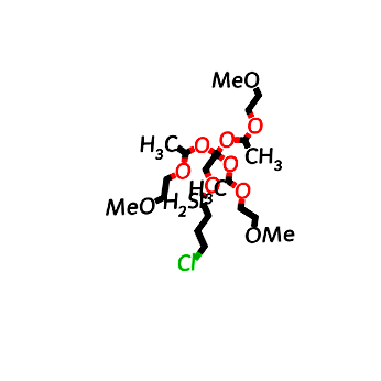 COCCOC(C)OC(CO[SiH2]CCCCl)(OC(C)OCCOC)OC(C)OCCOC